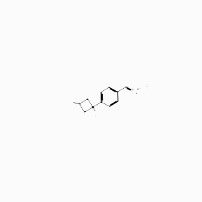 O=C(O)C1CC(O)(c2ccc(C=NO)cc2)C1